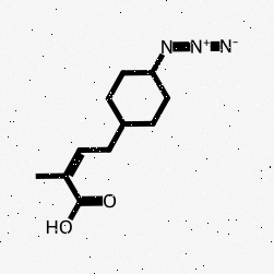 CC(=CCC1CCC(N=[N+]=[N-])CC1)C(=O)O